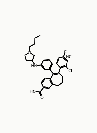 Cl.O=C(O)c1ccc2c(c1)CCCC(c1ccc(Cl)cc1Cl)=C2c1cccc(NC2CCN(CCCF)C2)c1